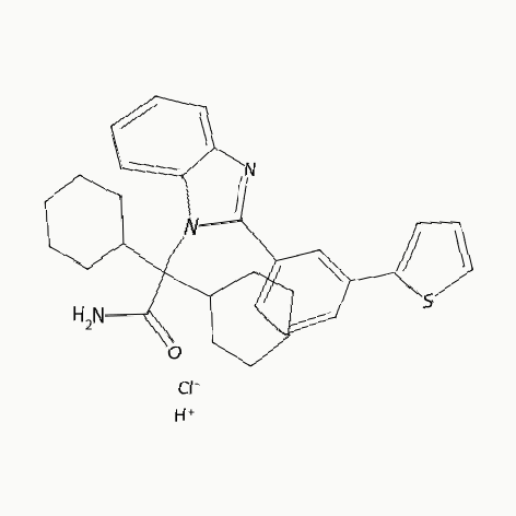 NC(=O)C(C1CCCCC1)(C1CCCCC1)n1c(-c2cccc(-c3cccs3)c2)nc2ccccc21.[Cl-].[H+]